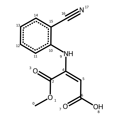 COC(=O)C(=CC(=O)O)Nc1ccccc1C#N